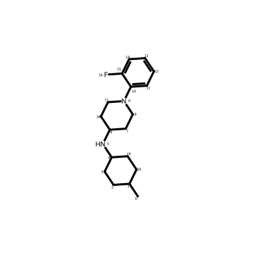 CC1CCC(NC2CCN(c3ccccc3F)CC2)CC1